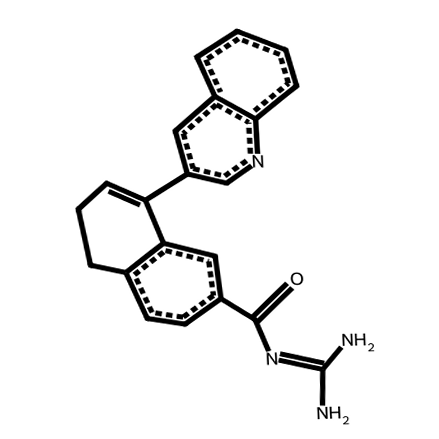 NC(N)=NC(=O)c1ccc2c(c1)C(c1cnc3ccccc3c1)=CCC2